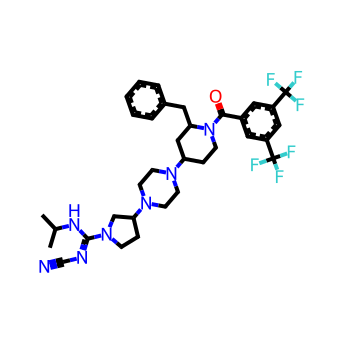 CC(C)N/C(=N\C#N)N1CCC(N2CCN(C3CCN(C(=O)c4cc(C(F)(F)F)cc(C(F)(F)F)c4)C(Cc4ccccc4)C3)CC2)C1